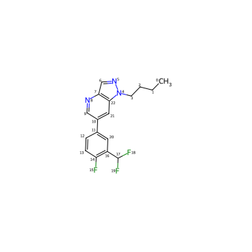 CCCCn1ncc2ncc(-c3ccc(F)c(C(F)F)c3)cc21